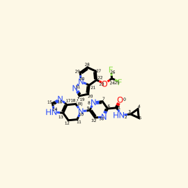 O=C(NC1CC1)c1cnc(N2CCc3[nH]cnc3[C@@H]2c2cc3c(OC(F)F)cccn3n2)cn1